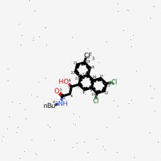 CCCCNC(=O)CC(O)c1cc2c(Cl)cc(Cl)cc2c2cc(C(F)(F)F)ccc12